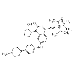 CC(C)[Si](C#Cc1cc(=O)n(C2CCCC2O)c2nc(Nc3ccc(N4CCN(C)CC4)cc3)ncc12)(C(C)C)C(C)C